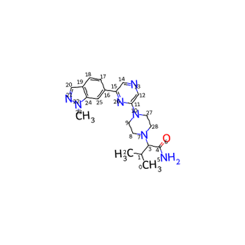 CC(C)C(C(N)=O)N1CCN(c2cncc(-c3ccc4cnn(C)c4c3)n2)CC1